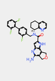 Nc1nc2cc(C(=O)N(Cc3ccc(-c4c(F)cccc4F)cc3F)[C@@H]3CCCc4cccnc43)[nH]c2c2c1COC2